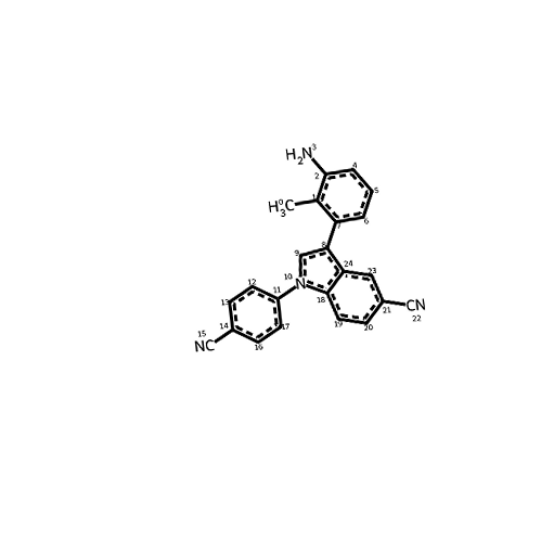 Cc1c(N)cccc1-c1cn(-c2ccc(C#N)cc2)c2ccc(C#N)cc12